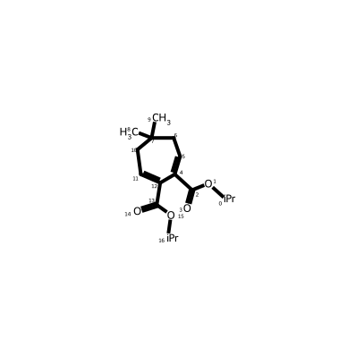 CC(C)OC(=O)C1=CCC(C)(C)CC=C1C(=O)OC(C)C